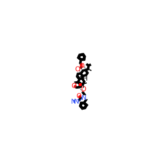 CC(C)[C@@H](C)[C@@]1(C)CC[C@]2(C)[C@H]3CC[C@@H]4C5(COC[C@]4(C)[C@@H](OCCN(Cc4ccccc4)C(=O)C=[N+]=[N-])[C@H](C)C5)C3=CC[C@@]2(C)[C@@H]1C(=O)OCc1ccccc1